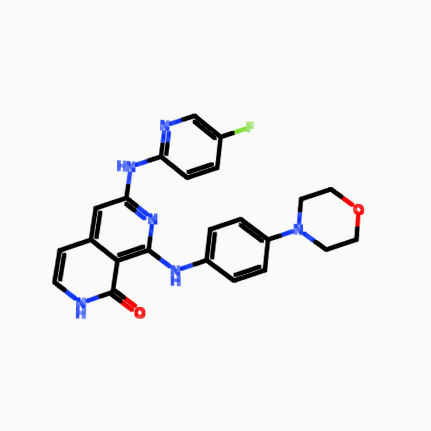 O=c1[nH]ccc2cc(Nc3ccc(F)cn3)nc(Nc3ccc(N4CCOCC4)cc3)c12